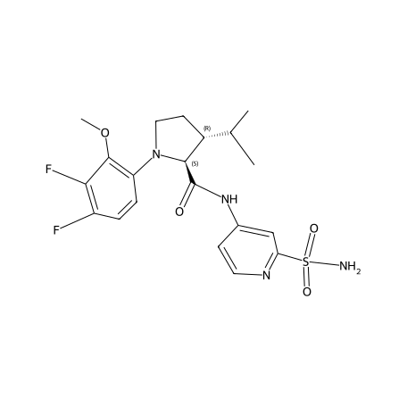 COc1c(N2CC[C@H](C(C)C)[C@H]2C(=O)Nc2ccnc(S(N)(=O)=O)c2)ccc(F)c1F